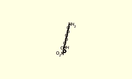 NCCOCCOCCOCCOCCOCCNC(=O)c1cccc([N+](=O)[O-])c1